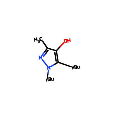 CCCCc1c(O)c(C)nn1CCCC